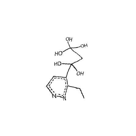 CCc1nnccc1C(O)(O)CC(O)(O)O